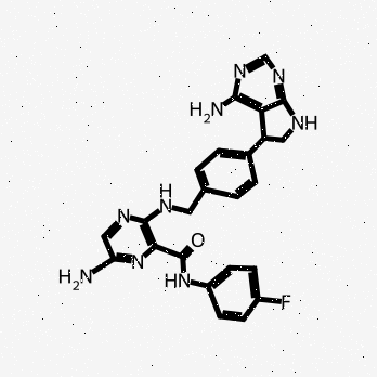 Nc1cnc(NCc2ccc(C3CNc4ncnc(N)c43)cc2)c(C(=O)Nc2ccc(F)cc2)n1